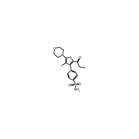 CCC(=O)c1sc(N2CCOCC2)c(C)c1-c1ccc(S(N)(=O)=O)cc1